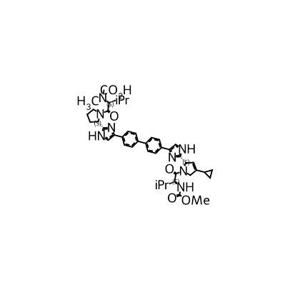 COC(=O)N[C@H](C(=O)N1CC(C2CC2)=C[C@H]1c1nc(-c2ccc(-c3ccc(-c4c[nH]c([C@@H]5CCCN5C(=O)[C@H](C(C)C)N(C)C(=O)O)n4)cc3)cc2)c[nH]1)C(C)C